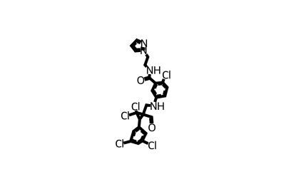 O=CC1(CNc2ccc(Cl)c(C(=O)NCCn3cccn3)c2)C(c2cc(Cl)cc(Cl)c2)C1(Cl)Cl